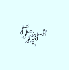 O.O=P[O-].O=P[O-].O=P[O-].O=P[O-].[Ti+4]